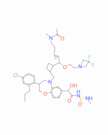 CCCc1cc(Cl)ccc1C1COc2ccc(C(O)C(=O)N[S+]([O-])NC)cc2N(CC2CCC2C(/C=C/CCN(C)C(C)=O)OCCN2CC(F)(F)C2)C1